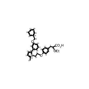 CCOC(Cc1ccc(OCCn2c(C)ccc2-c2cccc(OCc3ccccc3)c2)cc1)C(=O)O